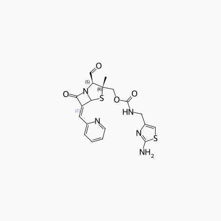 C[C@@]1(COC(=O)NCc2csc(N)n2)SC2/C(=C\c3ccccn3)C(=O)N2[C@H]1C=O